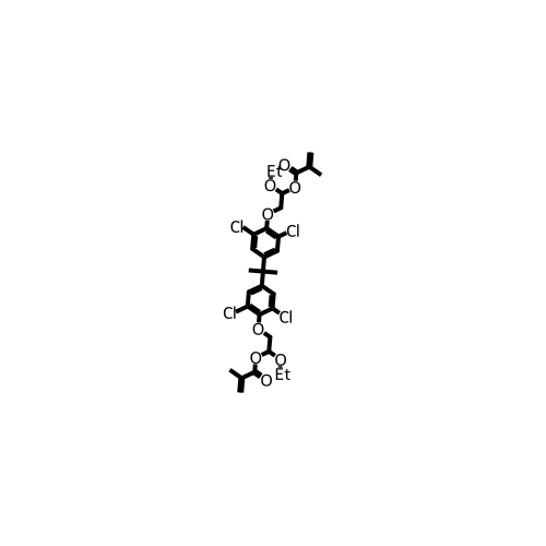 C=C(C)C(=O)OC(COc1c(Cl)cc(C(C)(C)c2cc(Cl)c(OCC(OCC)OC(=O)C(=C)C)c(Cl)c2)cc1Cl)OCC